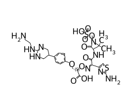 CC1(C)C(NC(=O)C(=NO[C@@H](COc2ccc(C3CN=C(NCCN)NC3)cc2)C(=O)O)c2csc(N)n2)C(=O)N1OS(=O)(=O)O